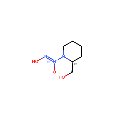 [O-]/[N+](=N\O)N1CCCC[C@H]1CO